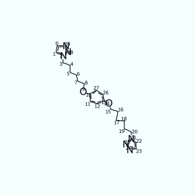 c1cn(CCCCCCOc2ccc(OCCCCCCn3ccnn3)cc2)nn1